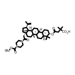 C=C(C)[C@@H]1CC[C@]2(CC(=O)N3CCN(C(=O)OC(C)(C)C)CC3)CC[C@]3(C)[C@H](CC[C@@H]4[C@@]5(C)CC[C@H](OC(=O)CC(C)(C)C(=O)O)C(C)(C)[C@@H]5CC[C@]43C)[C@@H]12